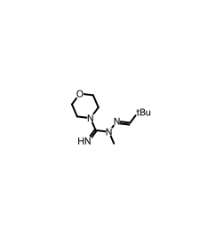 CN(/N=C/C(C)(C)C)C(=N)N1CCOCC1